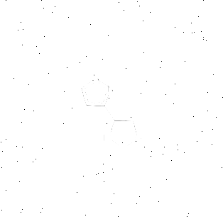 B1OOCC1c1cc[nH]n1